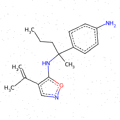 C=C(C)c1cnoc1NC(C)(CCC)c1ccc(N)cc1